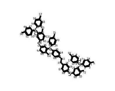 Cc1ccc([SH](c2ccc(C)cc2)c2cc(Sc3ccc(CCc4ccc([SH](c5ccc(C)cc5)c5cc(Sc6ccc(C)c([SH](c7ccc(C)cc7)c7ccc(C)cc7)c6)ccc5C)cc4)cc3)ccc2C)cc1